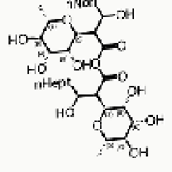 CCCCCCCCCC(O)C(C(=O)OC(=O)C(C(O)CCCCCCC)[C@@H]1O[C@@H](C)[C@H](O)[C@@H](O)[C@H]1O)[C@@H]1O[C@@H](C)[C@H](O)[C@@H](O)[C@H]1O